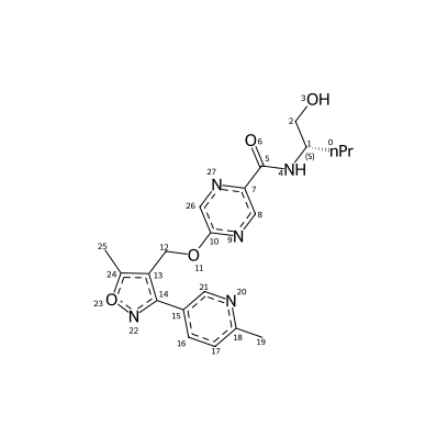 CCC[C@@H](CO)NC(=O)c1cnc(OCc2c(-c3ccc(C)nc3)noc2C)cn1